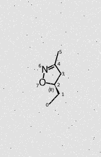 CC[C@@H]1CC(C)=NO1